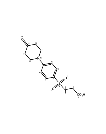 O=C(O)CNS(=O)(=O)c1ccc(N2CCC(=O)CC2)cc1